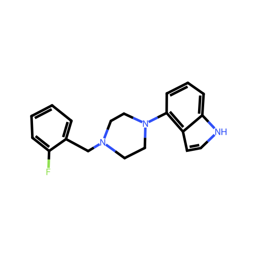 Fc1ccccc1CN1CCN(c2cccc3[nH]ccc23)CC1